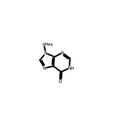 CCCCCCn1cnc2c(=O)[nH]cnc21